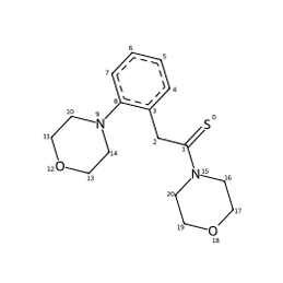 S=C(Cc1ccccc1N1CCOCC1)N1CCOCC1